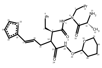 CC(C)C[C@@H](C(=O)NN(CC(C)C)C(=O)[C@@H](C)N)C(CC=Cc1cccs1)C(=O)NOC1CCCCO1